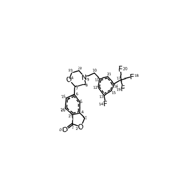 O=C1OCc2cc(C3CN(Cc4cc(F)cc(C(F)(F)F)c4)CCO3)ccc21